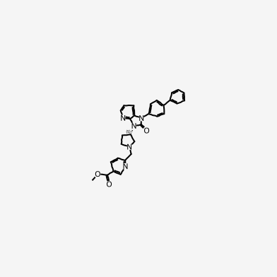 COC(=O)c1ccc(CN2CC[C@H](n3c(=O)n(-c4ccc(-c5ccccc5)cc4)c4cccnc43)C2)nc1